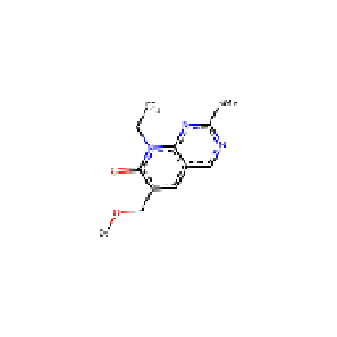 CCOCc1cc2cnc(SC)nc2n(CC(F)(F)F)c1=O